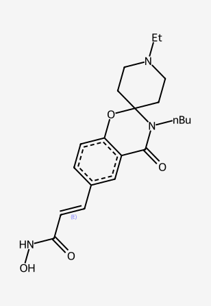 CCCCN1C(=O)c2cc(/C=C/C(=O)NO)ccc2OC12CCN(CC)CC2